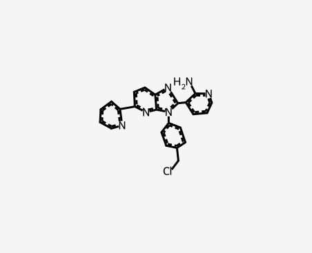 Nc1ncccc1-c1nc2ccc(-c3ccccn3)nc2n1-c1ccc(CCl)cc1